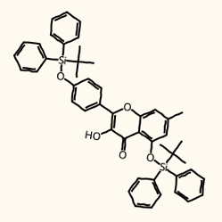 Cc1cc(O[Si](c2ccccc2)(c2ccccc2)C(C)(C)C)c2c(=O)c(O)c(-c3ccc(O[Si](c4ccccc4)(c4ccccc4)C(C)(C)C)cc3)oc2c1